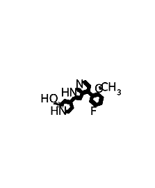 COc1ccc(F)cc1-c1ccnc2[nH]c(C3=C[C@H](CO)NCC3)cc12